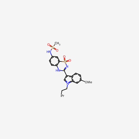 COc1ccc2c(C3=NS(=O)(=O)c4cc(NS(C)(=O)=O)ccc4N3)cn(CCC(C)C)c2c1